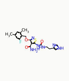 Cc1cc(C)c(COc2nsc(NC(=O)NCCc3c[nH]cn3)c2C(N)=O)c(F)c1